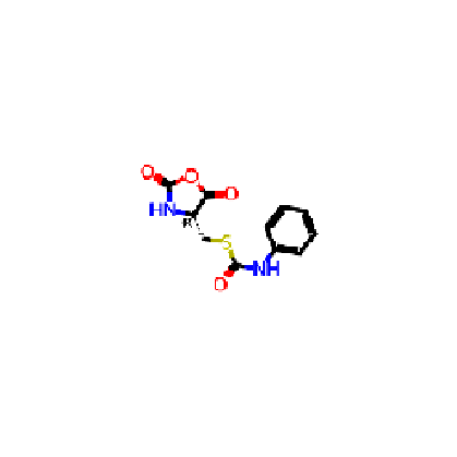 O=C1N[C@@H](CSC(=O)Nc2ccccc2)C(=O)O1